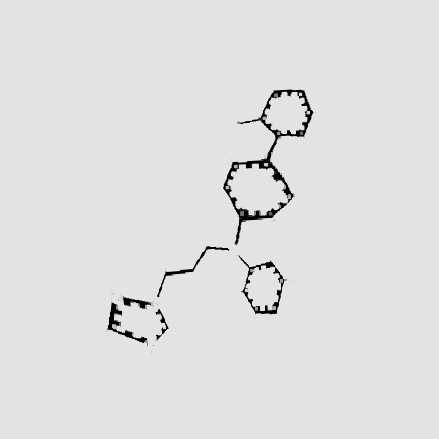 O=[N+]([O-])c1ccccc1-c1ccc(N(CCCn2cncn2)c2ccccc2)cc1